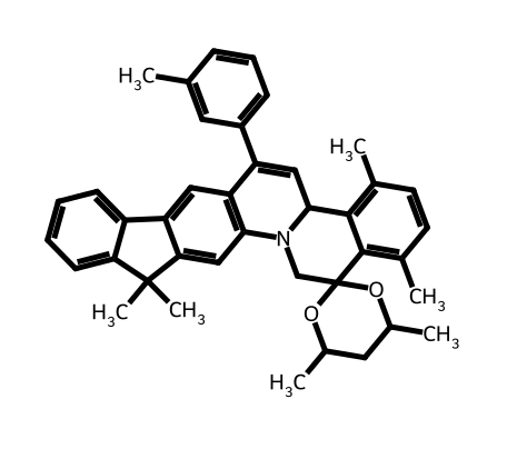 Cc1cccc(C2=CC3c4c(C)ccc(C)c4C4(CN3c3cc5c(cc32)-c2ccccc2C5(C)C)OC(C)CC(C)O4)c1